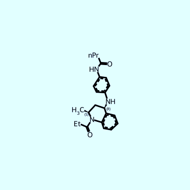 CCCC(=O)Nc1ccc(N[C@@H]2C[C@H](C)N(C(=O)CC)c3ccccc32)cc1